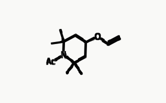 C=COC1CC(C)(C)N(C(C)=O)C(C)(C)C1